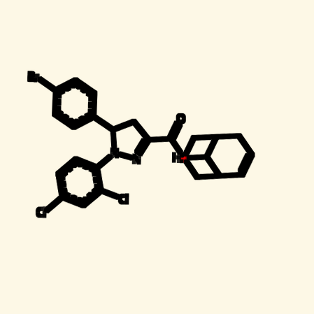 O=C(NC1C2C=CCC1CCC2)C1=NN(c2ccc(Cl)cc2Cl)C(c2ccc(Br)cc2)C1